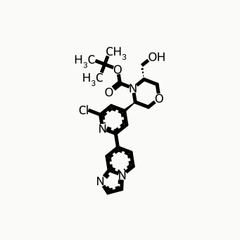 CC(C)(C)OC(=O)N1[C@H](CO)COC[C@H]1c1cc(Cl)nc(-c2ccn3ccnc3c2)c1